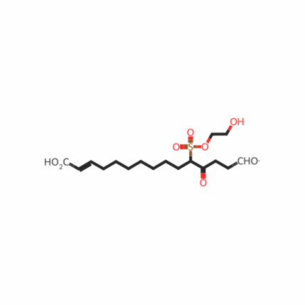 O=[C]CCC(=O)C(CCCCCCCC=CC(=O)O)S(=O)(=O)OCCO